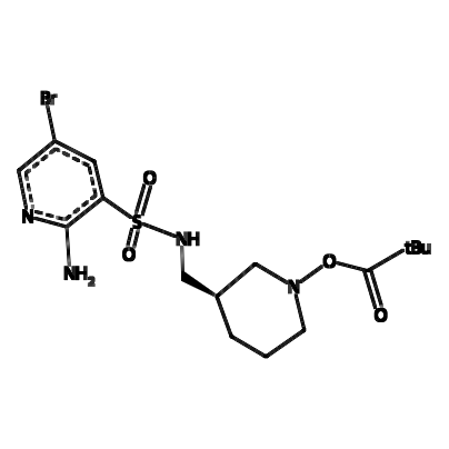 CC(C)(C)C(=O)ON1CCC[C@@H](CNS(=O)(=O)c2cc(Br)cnc2N)C1